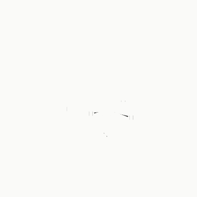 COc1cccc2c1CO[C@@H]1CNC[C@H]21.Cl